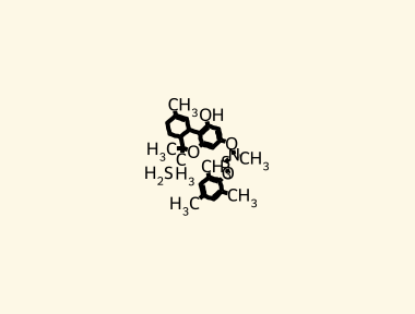 CC1=CC2c3c(O)cc(ON(C)SOc4c(C)cc(C)cc4C)cc3OC(C)(C)C2CC1.S